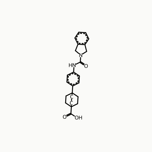 O=C(Nc1ccc(C23CCC(C(=O)O)(CC2)CC3)cc1)N1Cc2ccccc2C1